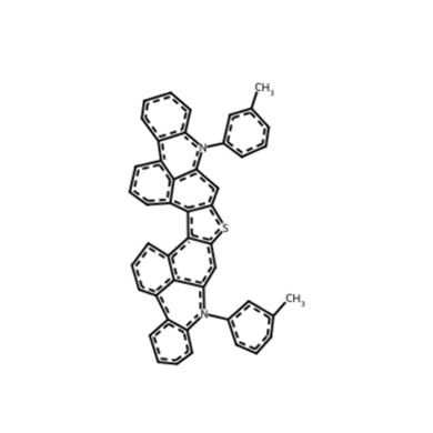 Cc1cccc(-n2c3ccccc3c3cccc4c5c(cc2c34)sc2cc3c4c(cccc4c25)c2ccccc2n3-c2cccc(C)c2)c1